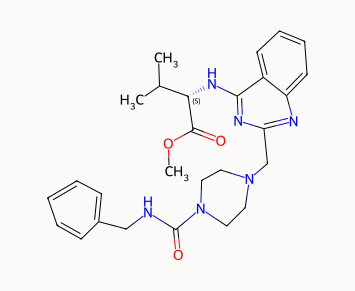 COC(=O)[C@@H](Nc1nc(CN2CCN(C(=O)NCc3ccccc3)CC2)nc2ccccc12)C(C)C